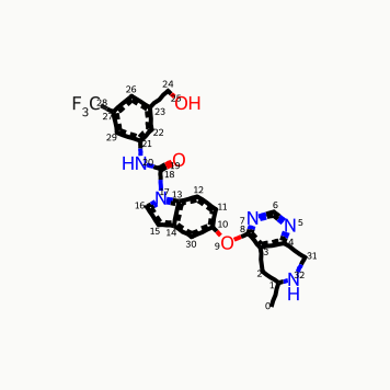 CC1Cc2c(ncnc2Oc2ccc3c(ccn3C(=O)Nc3cc(CO)cc(C(F)(F)F)c3)c2)CN1